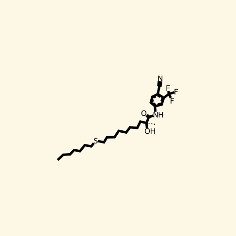 CCCCCCCSCCCCCCCC[C@](C)(O)C(=O)Nc1ccc(C#N)c(C(F)(F)F)c1